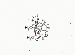 CCCCC1CC2CCC(C1)N2CC(C)CN1C(=O)COc2ccc(F)cc21